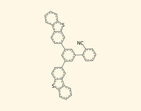 N#Cc1ccccc1-c1cc(-c2ccc3c(c2)sc2ccccc23)cc(-c2ccc3sc4ccccc4c3c2)c1